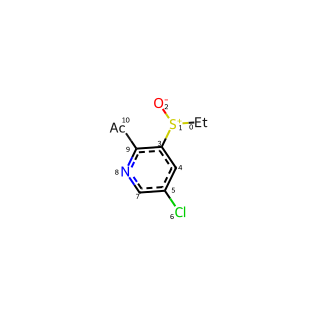 CC[S+]([O-])c1cc(Cl)cnc1C(C)=O